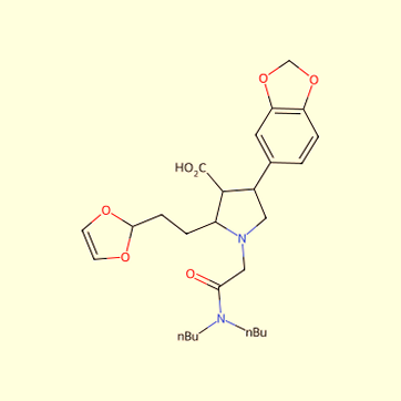 CCCCN(CCCC)C(=O)CN1CC(c2ccc3c(c2)OCO3)C(C(=O)O)C1CCC1OC=CO1